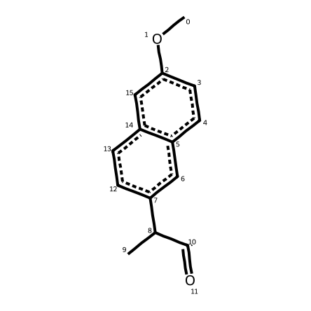 COc1ccc2cc(C(C)[C]=O)ccc2c1